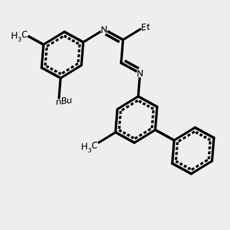 CCCCc1cc(C)cc(N=C(C=Nc2cc(C)cc(-c3ccccc3)c2)CC)c1